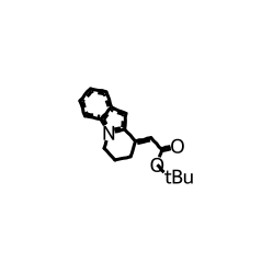 CC(C)(C)OC(=O)C=C1CCCn2c1cc1ccccc12